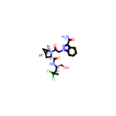 NC(=O)c1nn(CC(=O)N2[C@@H]3C[C@@H]3C[C@H]2C(=O)N[C@@H](CO)[C@@H]2CC2(Cl)Cl)c2ccccc12